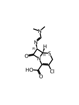 CN(C)C=N[C@@H]1C(=O)N2C(C(=O)O)=C(Cl)CS[C@@H]12